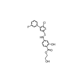 O=C(OCCO)c1ccc(NSc2cc(-c3cccc(F)c3)c(Cl)s2)cc1O